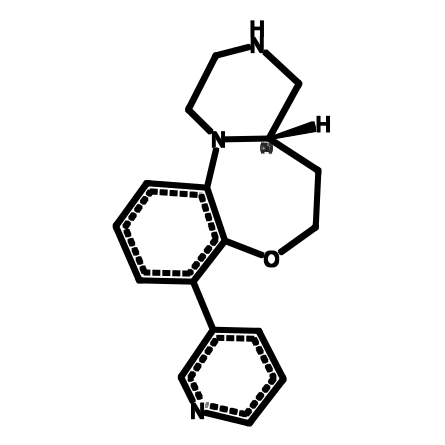 c1cncc(-c2cccc3c2OCC[C@H]2CNCCN32)c1